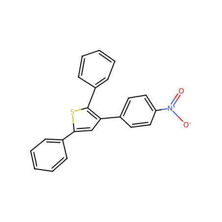 O=[N+]([O-])c1ccc(-c2cc(-c3ccccc3)sc2-c2ccccc2)cc1